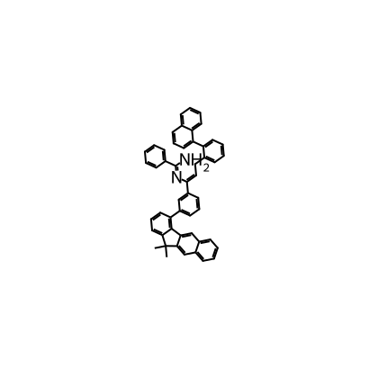 CC1(C)c2cc3ccccc3cc2-c2c(-c3cccc(C(=C/Cc4ccccc4-c4cccc5ccccc45)/N=C(\N)c4ccccc4)c3)cccc21